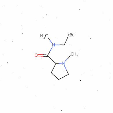 CN(CC(C)(C)C)C(=O)C1CCCN1C